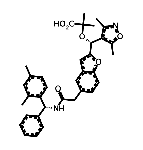 Cc1ccc([C@H](NC(=O)Cc2ccc3oc([C@H](OC(C)(C)C(=O)O)c4c(C)noc4C)cc3c2)c2ccccc2)c(C)c1